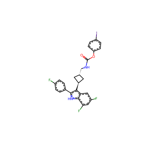 O=C(NC[C@H]1C[C@H](c2c(-c3ccc(F)cc3)[nH]c3c(F)cc(F)cc32)C1)Oc1ccc(I)cc1